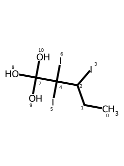 CCC(I)C(I)(I)C(O)(O)O